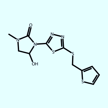 CN1CC(O)N(c2nnc(SCc3cccs3)s2)C1=O